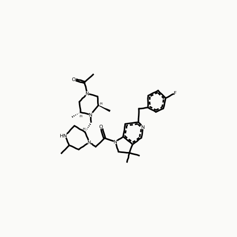 CC(=O)N1C[C@@H](C)N(C[C@H]2CNC(C)CN2CC(=O)N2CC(C)(C)c3cnc(Cc4ccc(F)cc4)cc32)[C@H](C)C1